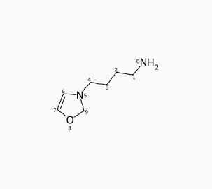 NCCCCN1C=COC1